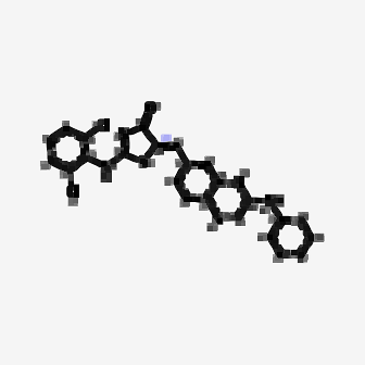 O=C1N=C(Nc2c(Cl)cccc2Cl)S/C1=C\c1ccc2ncc(Nc3ccccc3)nc2c1